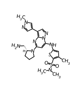 Cc1cc(Nc2cc(N3CCC[C@@H]3CN)nc3c(-c4cnn(C)c4)cnn23)sc1S(=O)(=O)N(C)C